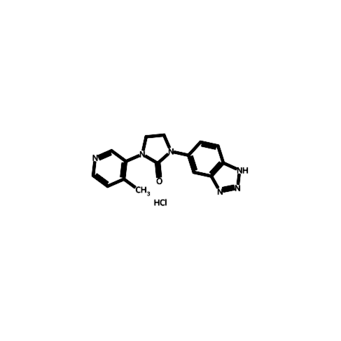 Cc1ccncc1N1CCN(c2ccc3[nH]nnc3c2)C1=O.Cl